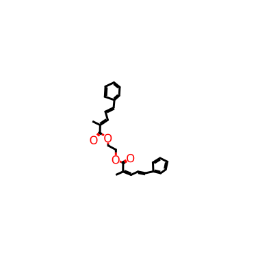 CC(=CC=Cc1ccccc1)C(=O)OCCOC(=O)C(C)=CC=Cc1ccccc1